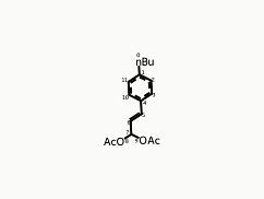 CCCCc1ccc(/C=C/C(OC(C)=O)OC(C)=O)cc1